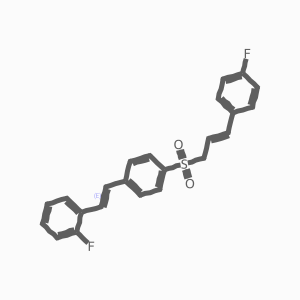 O=S(=O)(CC=Cc1ccc(F)cc1)c1ccc(/C=C/c2ccccc2F)cc1